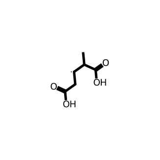 CC([CH]CC(=O)O)C(=O)O